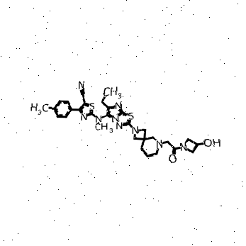 CCc1nc2sc(N3CC4(CCCN(CC(=O)N5CC(O)C5)C4)C3)nn2c1N(C)c1nc(-c2ccc(C)cc2)c(C#N)s1